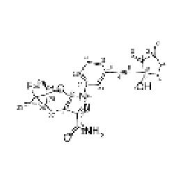 C=C1N(C)CC[C@@]1(O)C#Cc1cccc(-n2nc(C(N)=O)c3c2O[C@]2(C)C(C3)C2(F)F)c1